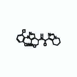 COc1cccc(Cl)c1-n1ncc2c1COCC2NC(=O)c1ncn2c1CCCC2